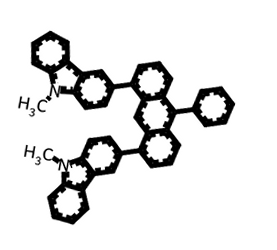 Cn1c2ccccc2c2cc(-c3cccc4c(-c5ccccc5)c5cccc(-c6ccc7c(c6)c6ccccc6n7C)c5cc34)ccc21